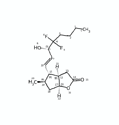 CCCCC(F)(F)[C@@H](O)C=C[C@@H]1[C@H]2CC(=O)O[C@H]2C[C@H]1C